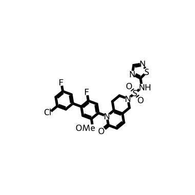 COc1cc(-c2cc(F)cc(Cl)c2)c(F)cc1-n1c2c(ccc1=O)CN(S(=O)(=O)Nc1ncns1)CC2